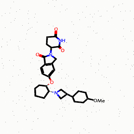 COC1CCC(C2CN([C@@H]3CCCC[C@@H]3Oc3ccc4c(c3)CN(C3CCC(=O)NC3=O)C4=O)C2)CC1